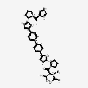 CC(C)[C@@H](C(=O)N1CCC[C@H]1c1ncc(-c2ccc(-c3ccc(-c4cnc([C@@H]5CCCN5C(=O)c5c[nH]cn5)[nH]4)cc3)cc2)[nH]1)N(C)C(=O)O